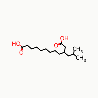 CC(C)CC(CCCCCCCCC(=O)O)CC(=O)O